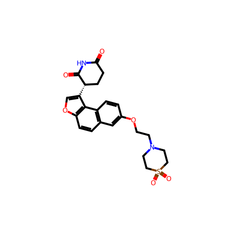 O=C1CC[C@H](c2coc3ccc4cc(OCCN5CCS(=O)(=O)CC5)ccc4c23)C(=O)N1